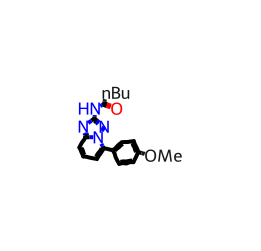 CCCCC(=O)Nc1nc2cccc(-c3ccc(OC)cc3)n2n1